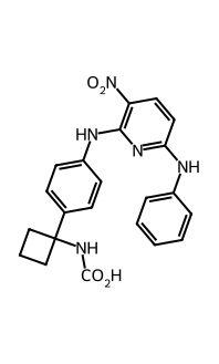 O=C(O)NC1(c2ccc(Nc3nc(Nc4ccccc4)ccc3[N+](=O)[O-])cc2)CCC1